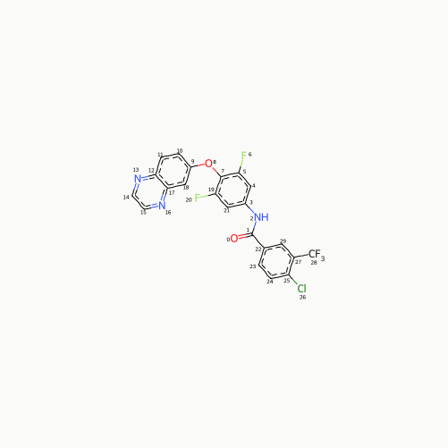 O=C(Nc1cc(F)c(Oc2ccc3nccnc3c2)c(F)c1)c1ccc(Cl)c(C(F)(F)F)c1